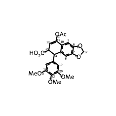 COc1cc(C2c3cc4c(cc3C(OC(C)=O)=CC2C(=O)O)OCO4)cc(OC)c1OC